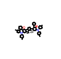 Cc1ccc(N(c2ccc(C)cc2)c2cc3c(c4c2oc2ccccc24)-c2ccc4c(c2[Si]3(C)C)[Si](C)(C)c2cc(N(c3ccc(C)cc3)c3ccc(C)cc3)c3c(oc5ccccc53)c2-4)cc1